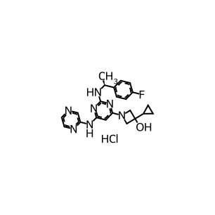 C[C@H](Nc1nc(Nc2cnccn2)cc(N2CC(O)(C3CC3)C2)n1)c1ccc(F)cc1.Cl